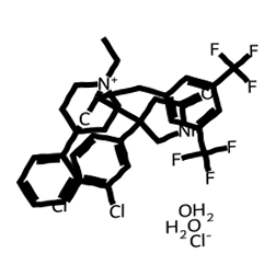 CC[N+]12CCC(c3ccccc3)(CC1)CC2(Cc1cc(C(F)(F)F)cc(C(F)(F)F)c1)C1(c2ccc(Cl)c(Cl)c2)CNC(=O)C1.O.O.[Cl-]